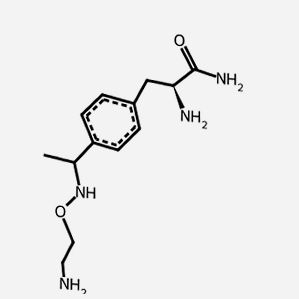 CC(NOCCN)c1ccc(C[C@H](N)C(N)=O)cc1